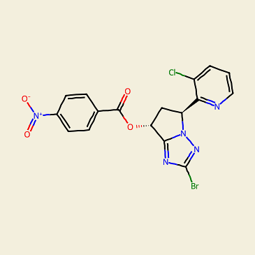 O=C(O[C@@H]1C[C@@H](c2ncccc2Cl)n2nc(Br)nc21)c1ccc([N+](=O)[O-])cc1